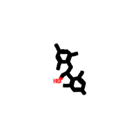 Cc1cc(C)c(CC(CO)c2c(C)cc(C)cc2C)c(C)c1